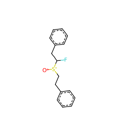 [O-][S+](CCc1ccccc1)C(F)Cc1ccccc1